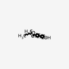 CCCCC[C@@H](C)OC(=O)c1ccc(-c2ccc(O)cc2)cc1